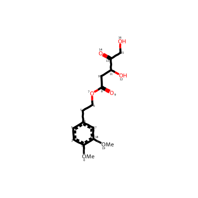 COc1ccc(CCOC(=O)CC(O)C(=O)CO)cc1OC